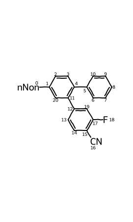 CCCCCCCCCc1ccc(-c2ccccc2)c(-c2ccc(C#N)c(F)c2)c1